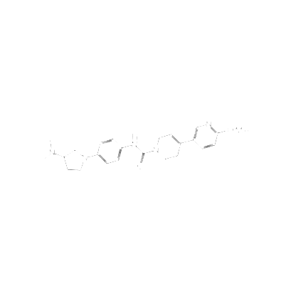 COc1ccc(C2=CCN(C(=O)Nc3ccc(N4CCC(N(C)C)C4)cc3)CC2)cn1